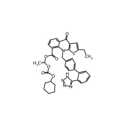 CCc1cc2c(=O)c3cccc(C(=O)OC(C)OC(=O)OC4CCCCC4)c3n(Cc3ccc(-c4ccccc4-c4nnn[nH]4)cc3)c2s1